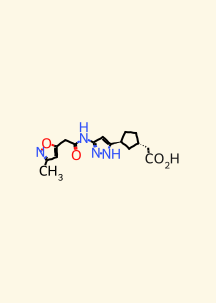 Cc1cc(CC(=O)Nc2cc([C@H]3CC[C@H](CC(=O)O)C3)[nH]n2)on1